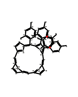 Cc1ccc(-c2c(-c3ccc(C)cc3C)c3c(-c4ccc(C)cc4C)c4nc(cc5ccc(cc6nc(cc2n3-c2ccc(C)cc2C)C=C6)[nH]5)C=C4)c(C)c1